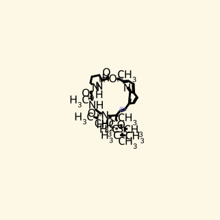 C=C(C)[C@@H]1NC(=O)C(C)(C(C)O[Si](C)(C)C(C)(C)C)/C=C/c2ccc3ccc(nc3c2)[C@@H](C)OC(=O)[C@@H]2CCCN(N2)C(=O)[C@H](C)NC1=O